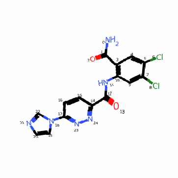 NC(=O)c1cc(Cl)c(Cl)cc1NC(=O)c1ccc(-n2ccnc2)nn1